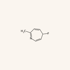 CC1=NC=CC(F)C=C1